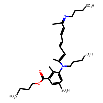 CC(/C=C/C=C/C=C(\C)N(CCCS(=O)(=O)O)c1cc(S(=O)(=O)O)cc(C(=O)OCCCS(=O)(=O)O)c1C)=N/CCCS(=O)(=O)O